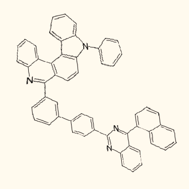 c1ccc(-n2c3ccccc3c3c4c(ccc32)c(-c2cccc(-c3ccc(-c5nc(-c6cccc7ccccc67)c6ccccc6n5)cc3)c2)nc2ccccc24)cc1